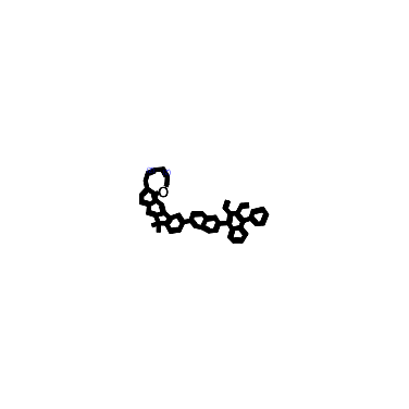 C=Cc1c(C=C)c(-c2ccc3cc(-c4ccc5c(c4)-c4cc6c7c(ccc6cc4C5(C)C)C/C=C\C=C/CO7)ccc3c2)c2ccccc2c1-c1ccccc1